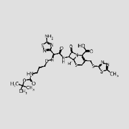 Cc1nnc(SCC2=C(C(=O)O)N3C(=O)C(NC(=O)C(=NOCCCNC(=O)OC(C)(C)C)c4nsc(N)n4)[C@@H]3SC2)s1